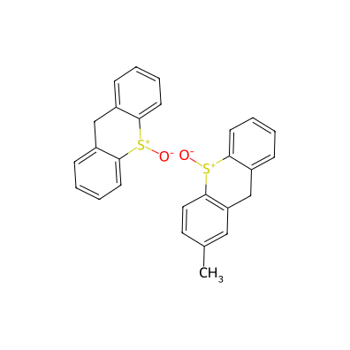 Cc1ccc2c(c1)Cc1ccccc1[S+]2[O-].[O-][S+]1c2ccccc2Cc2ccccc21